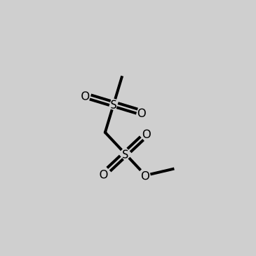 COS(=O)(=O)CS(C)(=O)=O